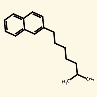 CC(C)CCCCCc1ccc2ccccc2c1